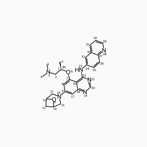 C[C@H](CN(C)C)Oc1cc(N2CC3CC(C2)O3)cc2ncnc(Nc3ccc4ncccc4c3)c12